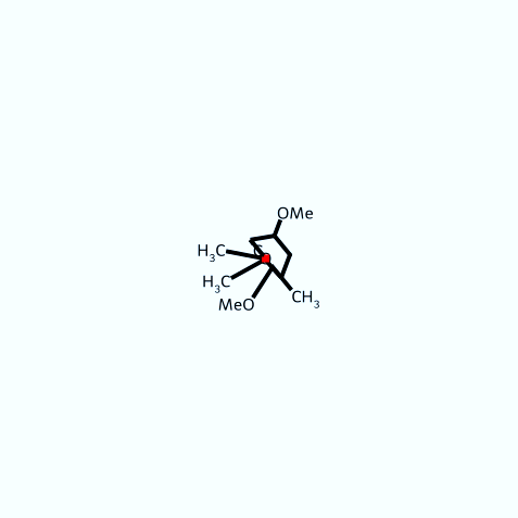 COC1CC2(C)OC(C)(C)C1CC2OC